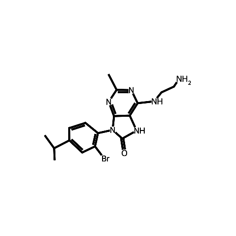 Cc1nc(NCCN)c2[nH]c(=O)n(-c3ccc(C(C)C)cc3Br)c2n1